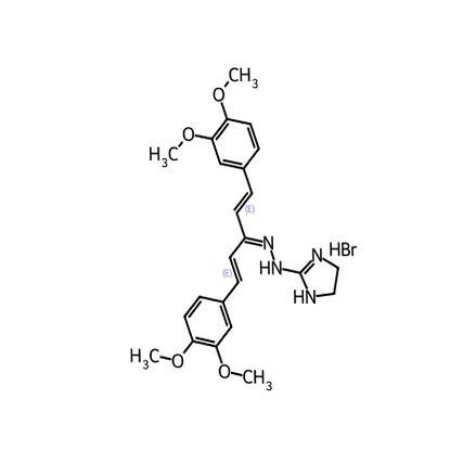 Br.COc1ccc(/C=C/C(/C=C/c2ccc(OC)c(OC)c2)=NNC2=NCCN2)cc1OC